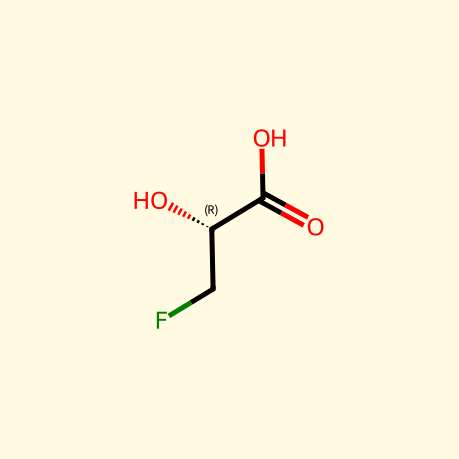 O=C(O)[C@@H](O)CF